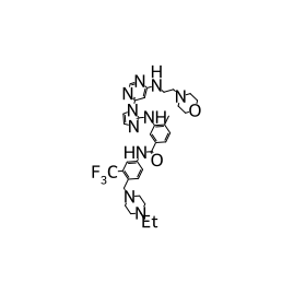 CCN1CCN(Cc2ccc(NC(=O)c3ccc(C)c(Nc4nccn4-c4cc(NCCN5CCOCC5)ncn4)c3)cc2C(F)(F)F)CC1